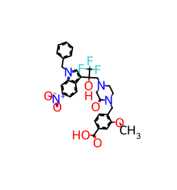 COc1cc(C(=O)O)ccc1CN1CCN(CC(O)(c2cn(Cc3ccccc3)c3cc([N+](=O)[O-])ccc23)C(F)(F)F)CC1=O